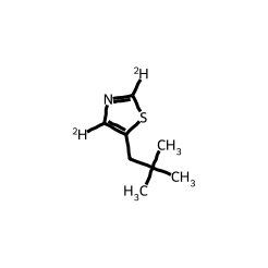 [2H]c1nc([2H])c(CC(C)(C)C)s1